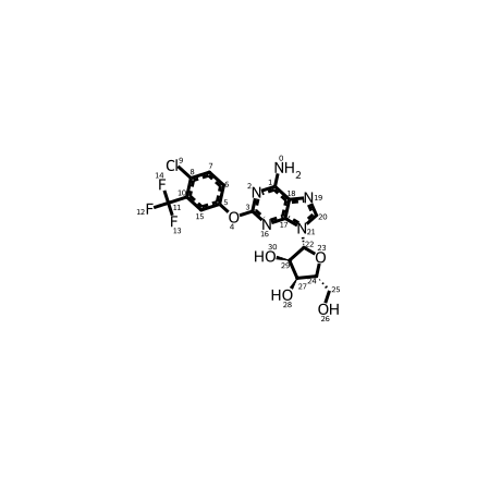 Nc1nc(Oc2ccc(Cl)c(C(F)(F)F)c2)nc2c1ncn2[C@@H]1O[C@H](CO)[C@@H](O)[C@H]1O